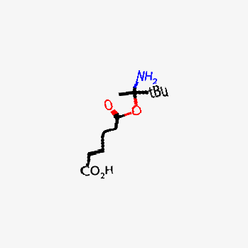 CC(C)(C)C(C)(N)OC(=O)CCCCC(=O)O